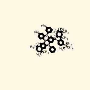 CC(C)(C)c1cccc(N2c3cc(C(C)(C)C)ccc3B3c4cc5c(cc4N(c4ccccc4)c4cc(N6c7ccc([Si](C)(C)C)cc7C7(C)CC(C)(C)C(C)(C)CC67C)cc2c43)C(C)(C)CCC5(C)C)c1